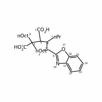 CCCCCCCCC(CCCCCCCC)(C(=O)O)C(C(=O)O)C(CCC)Sc1nc2ccccc2o1